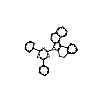 c1ccc(-c2nc(-c3ccccc3)nc(-n3c4c(c5c6ccccc6ccc53)-c3ccccc3CC4)n2)cc1